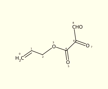 C=CCOC(=O)C(=O)C=O